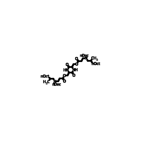 CCCCCCCCCCN(CCC(=O)OCC1NC(=O)C(COC(=O)CCN(CCCCCCCCCC)CC(C)CCCCCCCC)NC1=O)CC(C)CCCCCCCC